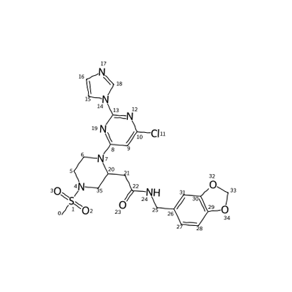 CS(=O)(=O)N1CCN(c2cc(Cl)nc(-n3ccnc3)n2)C(CC(=O)NCc2ccc3c(c2)OCO3)C1